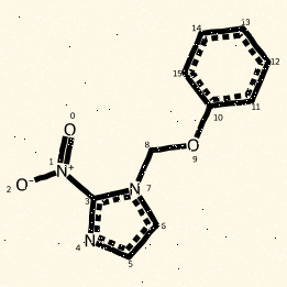 O=[N+]([O-])c1nccn1COc1ccccc1